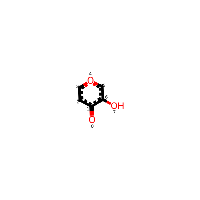 O=c1cco[c]c1O